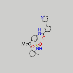 COc1ccc(NC(=O)c2cccc(-c3cccnc3)c2)cc1S(=O)(=O)Nc1c(C)cccc1C